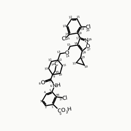 O=C(O)c1cccc(NC(=O)C23CCC(COCc4c(-c5c(Cl)cccc5Cl)noc4C4CC4)(CC2)CC3)c1Cl